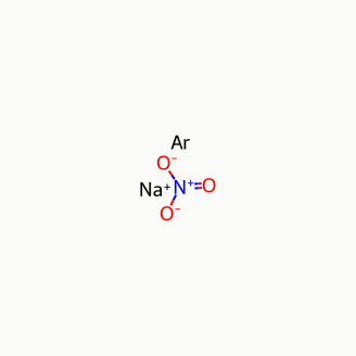 O=[N+]([O-])[O-].[Ar].[Na+]